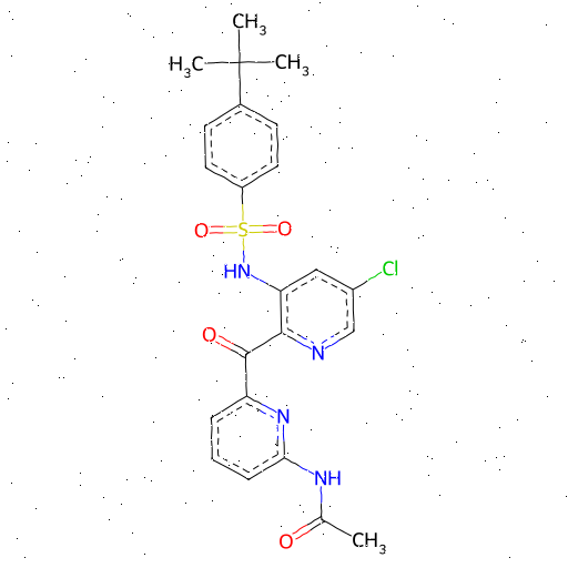 CC(=O)Nc1cccc(C(=O)c2ncc(Cl)cc2NS(=O)(=O)c2ccc(C(C)(C)C)cc2)n1